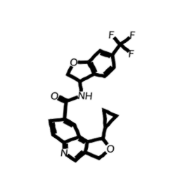 O=C(NC1COc2cc(C(F)(F)F)ccc21)c1ccc2ncc3c(c2c1)C(C1CC1)OC3